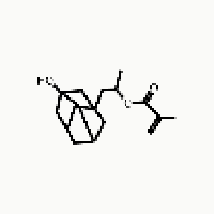 C=C(C)C(=O)OC(C)CC12CC3CC(CC(O)(C3)C1)C2